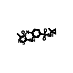 Cc1nsc(Nc2cc(S(=O)(=O)NC3(C)CC3)ccc2[N+](=O)[O-])n1